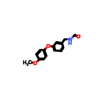 COc1ccc(Oc2cccc(CNC=O)c2)cc1